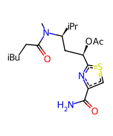 CCC(C)CC(=O)N(C)[C@H](C[C@@H](OC(C)=O)c1nc(C(N)=O)cs1)C(C)C